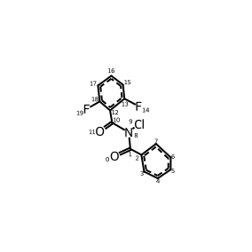 O=C(c1ccccc1)N(Cl)C(=O)c1c(F)cccc1F